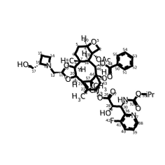 CC(=O)O[C@@]12CO[C@@H]1CC[C@@]1(C)[C@@H]3O[C@H](CN4CC[C@H]4CO)O[C@@H]3C3=C(C)[C@@H](OC(=O)[C@H](O)[C@@H](NC(=O)OC(C)C)c4ncccc4F)C[C@@](O)([C@@H](OC(=O)c4ccccc4)[C@@H]12)C3(C)C